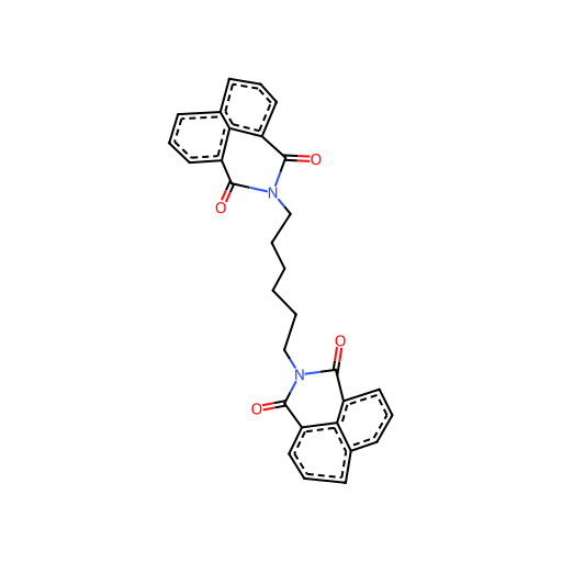 O=C1c2cccc3cccc(c23)C(=O)N1CCCCCCN1C(=O)c2cccc3cccc(c23)C1=O